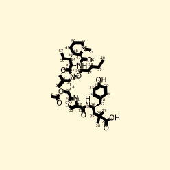 C=C(C)[C@@H](C[C@@H](OC(C)=O)c1nc(C(=O)N[C@@H](Cc2ccc(O)cc2)CC(C)(C)C(=O)O)cs1)N(OCCCCC)C(=O)[C@@H](NC(=O)[C@H]1CCCCN1C)[C@@H](C)CC